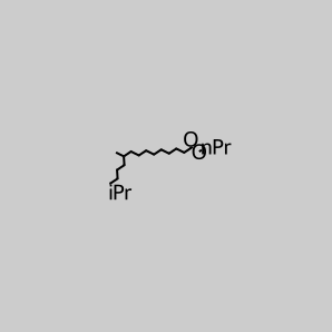 CCCOC(=O)CCCCCCCCC(C)CCCCC(C)C